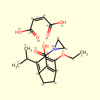 CCOc1c(O)c(C(C)C)c2c(C(=O)N3CC3)c1CC2.O=C(O)/C=C\C(=O)O